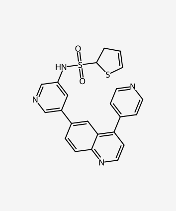 O=S(=O)(Nc1cncc(-c2ccc3nccc(-c4ccncc4)c3c2)c1)C1CC=CS1